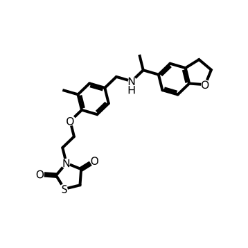 Cc1cc(CNC(C)c2ccc3c(c2)CCO3)ccc1OCCN1C(=O)CSC1=O